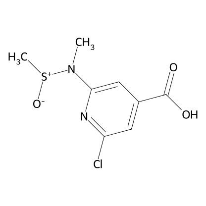 CN(c1cc(C(=O)O)cc(Cl)n1)[S+](C)[O-]